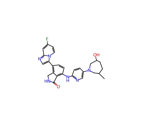 CC1CCC(O)CN(c2ccc(Nc3ccc(-c4cnc5cc(F)ccn45)c4c3C(=O)NC4)nc2)C1